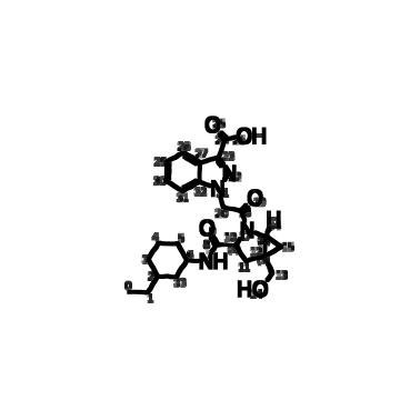 CCC1CCCC(NC(=O)[C@@H]2C[C@@]3(CO)C[C@H]3N2C(=O)Cn2nc(C(=O)O)c3ccccc32)C1